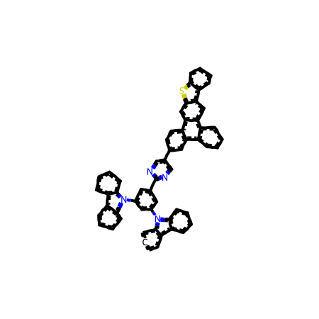 c1ccc2c(c1)sc1cc3c4ccc(-c5cnc(-c6cc(-n7c8ccccc8c8ccccc87)cc(-n7c8ccccc8c8ccccc87)c6)nc5)cc4c4ccccc4c3cc12